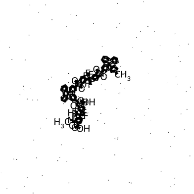 CNC(=O)c1cc(C(c2ccc(C(=O)O)c(C(=O)Nc3ccc(C4(c5ccc(N6C(=O)c7ccc(C(c8ccc9c(c8)C(=O)N(c8ccc(C%10(c%11ccc(C)cc%11)c%11ccccc%11-c%11ccccc%11%10)cc8)C9=O)(C(F)(F)F)C(F)(F)F)cc7C6=O)cc5)c5ccccc5-c5ccccc54)cc3)c2)(C(F)(F)F)C(F)(F)F)ccc1C(=O)O